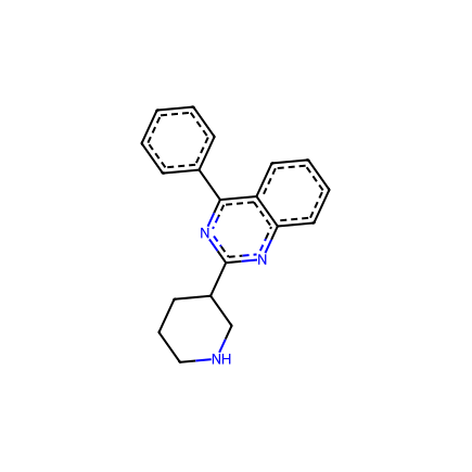 c1ccc(-c2nc(C3CCCNC3)nc3ccccc23)cc1